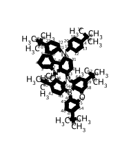 Cn1c2ccccc2c2c(N(c3ccc(C(C)(C)C)cc3)c3ccc(C(C)(C)C)cc3)ccc(N3c4cc(C(C)(C)C)ccc4B4c5ccc(C(C)(C)C)cc5Oc5cc(C(C)(C)C)cc3c54)c21